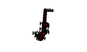 COCCOCCOCCOCCOCCOCCOCCOCCOCCOCC(=O)NCCCC[C@H](NC(=O)CCCN1C(=O)C=CC1=O)C(=O)NCCCC(=O)NCCNC(=O)OCC(=O)Nc1cc(C[C@@H](C[C@H](C)C(=O)O)NC(=O)c2csc([C@@H](C[C@H](C(C)C)N(C)C(=O)[C@@H](NC(=O)C(C)(C)N(C)C)C(C)C)OC(C)=O)n2)ccc1O